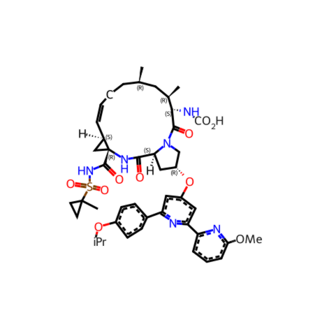 COc1cccc(-c2cc(O[C@@H]3C[C@H]4C(=O)N[C@]5(C(=O)NS(=O)(=O)C6(C)CC6)C[C@H]5C=CCC[C@@H](C)C[C@@H](C)[C@H](NC(=O)O)C(=O)N4C3)cc(-c3ccc(OC(C)C)cc3)n2)n1